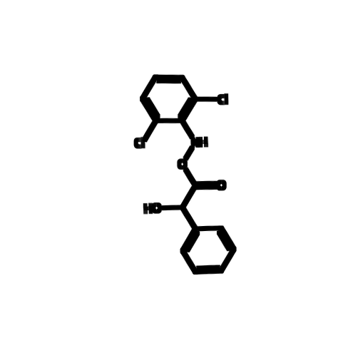 O=C(ONc1c(Cl)cccc1Cl)C(O)c1ccccc1